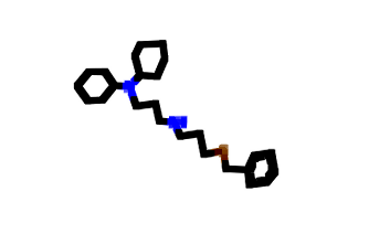 c1ccc(CSCCCNCCCN(C2CCCCC2)C2CCCCC2)cc1